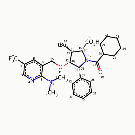 CN(C)c1ncc(C(F)(F)F)cc1CO[C@@H]1[C@@H](C(C)(C)C)[C@H](C(=O)O)N(C(=O)C2CCCCC2)[C@@H]1c1ccccc1